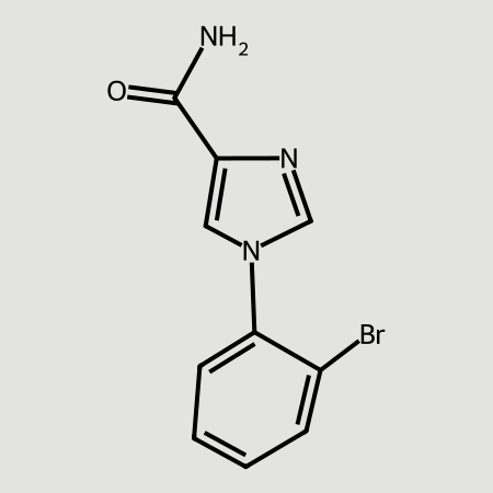 NC(=O)c1cn(-c2ccccc2Br)cn1